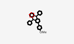 COc1ccc(-c2ccc([C](c3ccccc3)c3ccccc3)c(C(c3ccccc3)c3ccccc3)c2)cc1